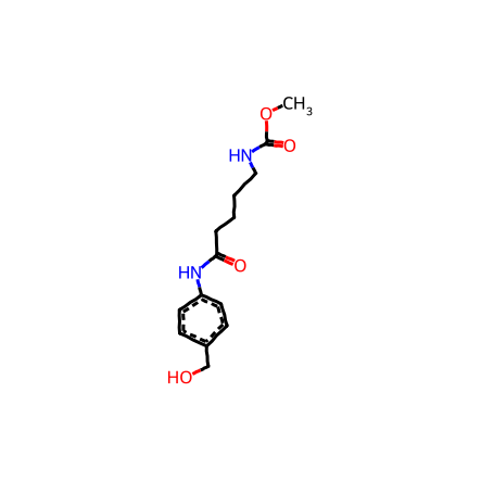 COC(=O)NCCCCC(=O)Nc1ccc(CO)cc1